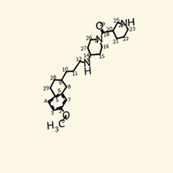 COc1ccc2c(c1)CC(CCCNC1CCN(C(=O)C3CCCNC3)CC1)CC2